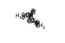 CC(=O)N1CCc2c(c(N3CCCc4cc(-c5cnn(C)c5)ccc43)nn2C2CCCO2)C1